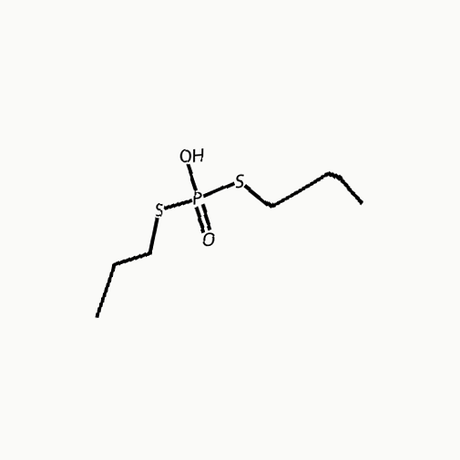 CCCSP(=O)(O)SCCC